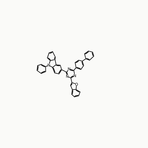 c1ccc(-c2ccc(-c3nc(-c4ccc5c(c4)c4ccccc4n5-c4ccccc4)nc(-c4cc5ccccc5o4)n3)cc2)cc1